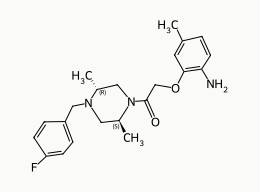 Cc1ccc(N)c(OCC(=O)N2C[C@@H](C)N(Cc3ccc(F)cc3)C[C@@H]2C)c1